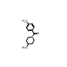 [CH2]c1ccc(C(=O)N2CCC(OC(C)=O)CC2)cc1